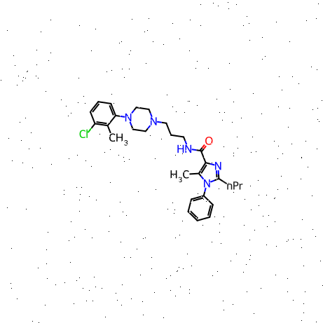 CCCc1nc(C(=O)NCCCN2CCN(c3cccc(Cl)c3C)CC2)c(C)n1-c1ccccc1